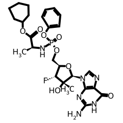 C[C@H](NP(=O)(OC[C@H]1O[C@@H](n2cnc3c(=O)[nH]c(N)nc32)[C@](C)(O)[C@@H]1F)Oc1ccccc1)C(=O)OC1CCCCC1